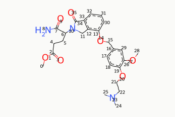 COC(=O)CCC(C(N)=O)N1Cc2c(OCc3ccc(OCCN(C)C)c(OC)c3)cccc2C1=O